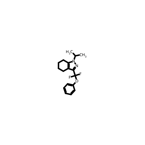 CC(C)n1nc(C(F)(F)Oc2ccccc2)c2c1CCCC2